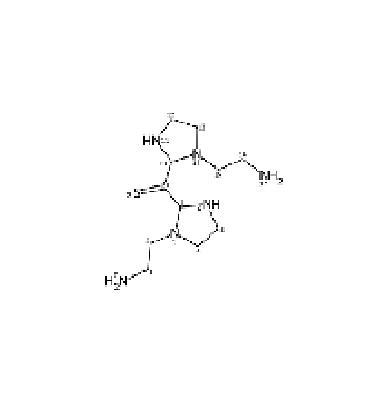 NCCN1CCNC1C(=S)C1NCCN1CCN